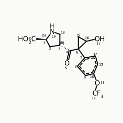 O=C(O)[C@@H]1C[C@@H](C(=O)C2(c3ccc(OC(F)(F)F)cc3)CC2O)CN1